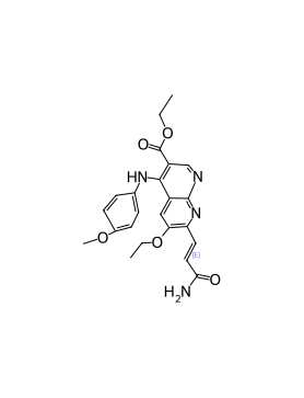 CCOC(=O)c1cnc2nc(/C=C/C(N)=O)c(OCC)cc2c1Nc1ccc(OC)cc1